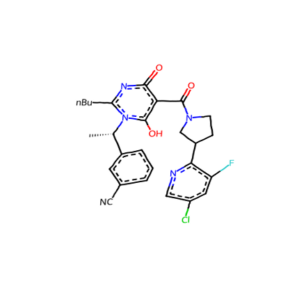 CCCCc1nc(=O)c(C(=O)N2CCC(c3ncc(Cl)cc3F)C2)c(O)n1[C@@H](C)c1cccc(C#N)c1